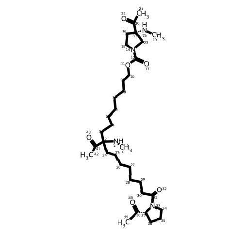 CNC(CCCCCCCCOC(=O)N1CC[C@@](NC)(C(C)=O)C1)(CCCCCCCC(=O)N1CCC[C@@H]1C(C)=O)C(C)=O